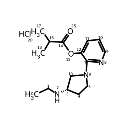 CCN[C@H]1CCN(c2ncccc2OC(=O)C(C)C)C1.Cl